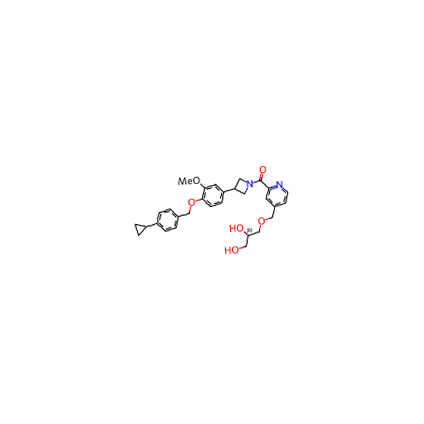 COc1cc(C2CN(C(=O)c3cc(COC[C@H](O)CO)ccn3)C2)ccc1OCc1ccc(C2CC2)cc1